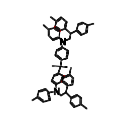 Cc1ccc(C(CN(c2ccc(C)cc2)c2ccc(C(C)(C)c3ccc(N(CC(c4ccc(C)cc4)c4ccc(C)cc4)c4ccc(C)cc4)cc3)cc2)c2ccc(C)cc2)cc1